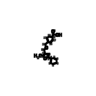 Cc1oc(-c2ccccc2)nc1COCc1ccc(C(=O)O)cc1